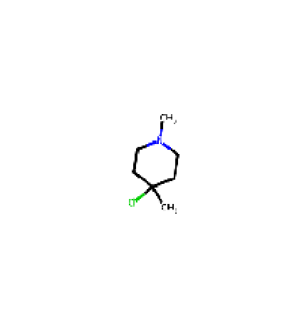 CN1CCC(C)(Cl)CC1